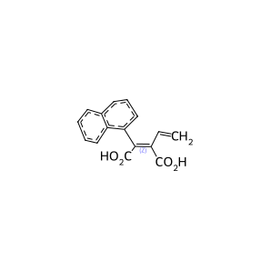 C=C/C(C(=O)O)=C(/C(=O)O)c1cccc2ccccc12